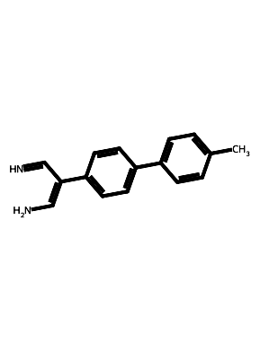 Cc1ccc(-c2ccc(/C(C=N)=C/N)cc2)cc1